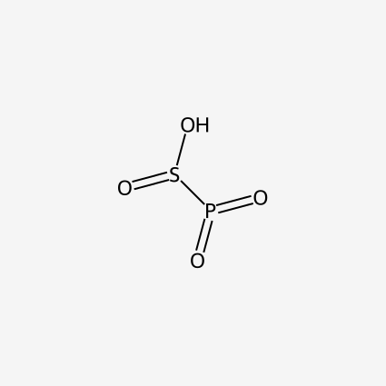 O=P(=O)S(=O)O